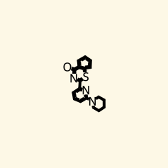 O=c1nc(-c2cccc(N3CCCCC3)n2)sc2ccccc12